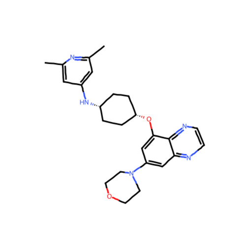 Cc1cc(N[C@H]2CC[C@@H](Oc3cc(N4CCOCC4)cc4nccnc34)CC2)cc(C)n1